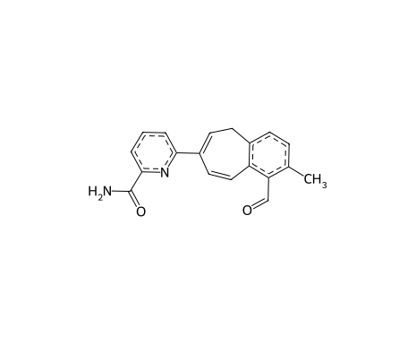 Cc1ccc2c(c1C=O)C=CC(c1cccc(C(N)=O)n1)=CC2